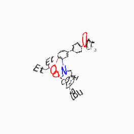 CCC(CC)Oc1ccc(-c2ccc(OC(F)(F)F)cc2)cc1N(Cc1ccc(C(C)(C)C)cc1)C(=O)C(=O)O